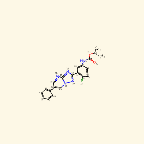 CC(C)OC(=O)Nc1ccc(F)c(-c2nc3ncc(-c4ccccc4)cn3n2)c1